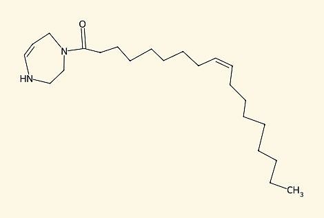 CCCCCCCC/C=C\CCCCCCCC(=O)N1CC=CNCC1